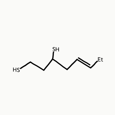 CCC=CCC(S)CCS